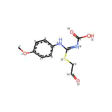 COc1ccc(N/C(=N\C(=O)O)SCC=O)cc1